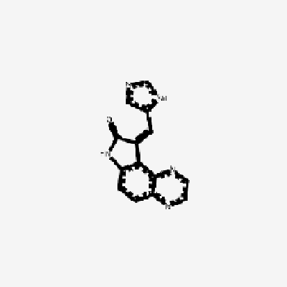 O=C1Nc2ccc3nccnc3c2/C1=C/c1cnc[nH]1